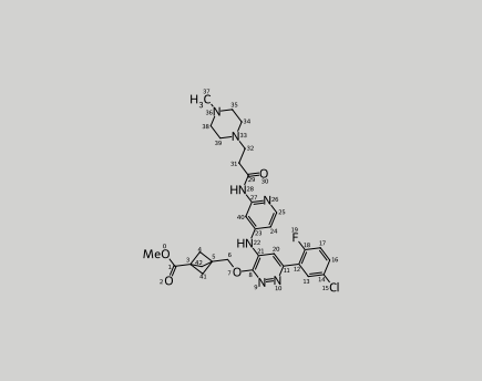 COC(=O)C12CC(COc3nnc(-c4cc(Cl)ccc4F)cc3Nc3ccnc(NC(=O)CCN4CCN(C)CC4)c3)(C1)C2